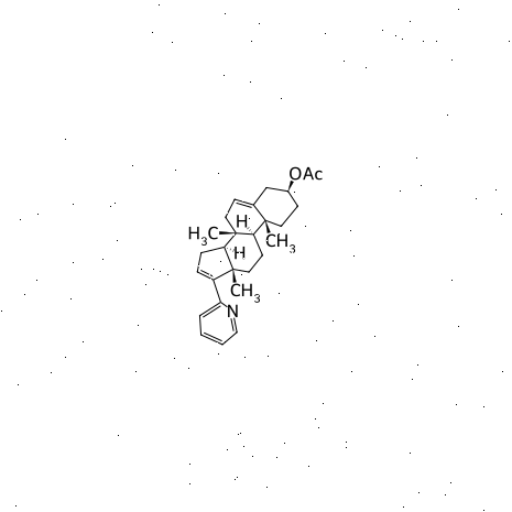 CC(=O)O[C@H]1CC[C@@]2(C)C(=CC[C@]3(C)[C@@H]2CC[C@]2(C)C(c4ccccn4)=CC[C@@H]32)C1